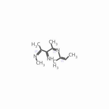 C/C=C(C)\N=C(\C)C(=N)/C(C)=N\C